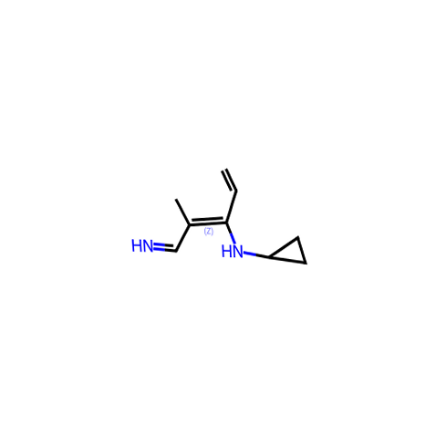 C=C/C(NC1CC1)=C(\C)C=N